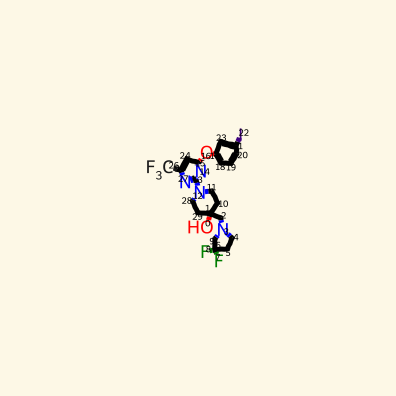 OC1(CN2CCC(F)(F)C2)CCN(c2nc(Oc3cccc(I)c3)cc(C(F)(F)F)n2)CC1